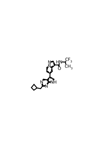 CC(NC(=O)c1cnn2ccc(-c3c[nH]c4nc(CC5CCC5)ncc34)cc12)C(F)(F)F